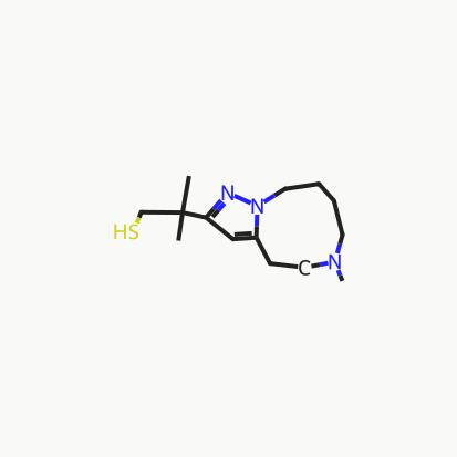 CN1CCCCn2nc(C(C)(C)CS)cc2CC1